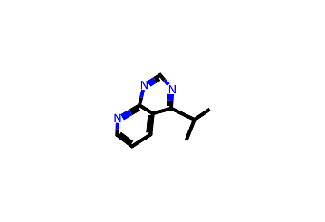 CC(C)c1ncnc2ncccc12